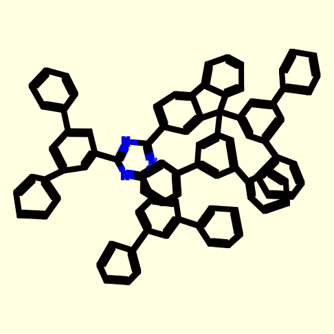 c1ccc(-c2cc(-c3ccccc3)cc(-c3nc(-c4cc(-c5ccccc5)cc(-c5ccccc5)c4)nc(-c4ccc5c(c4)C(c4cc(-c6ccccc6)cc(-c6ccccc6)c4)(c4cc(-c6ccccc6)cc(-c6ccccc6)c4)c4ccccc4-5)n3)c2)cc1